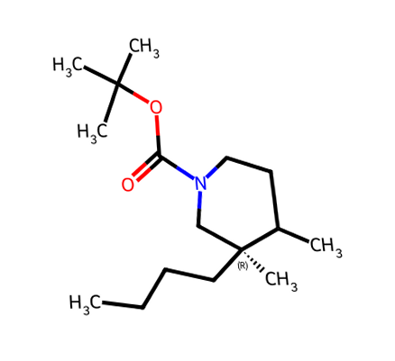 CCCC[C@@]1(C)CN(C(=O)OC(C)(C)C)CCC1C